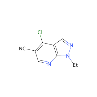 CCn1ncc2c(Cl)c(C#N)cnc21